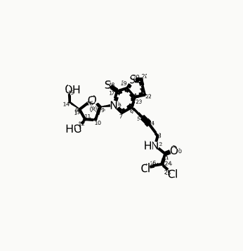 O=C(NCC#Cc1cn([C@H]2CC(O)[C@@H](CO)O2)c(=S)c2sccc12)C(Cl)Cl